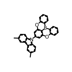 Cc1ccc2c(c1)c1cc(C)ccc1n2-c1cc2c3c(c1)Oc1ccccc1B3c1ccccc1O2